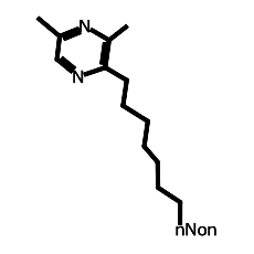 CCCCCCCCCCCCCCCCc1ncc(C)nc1C